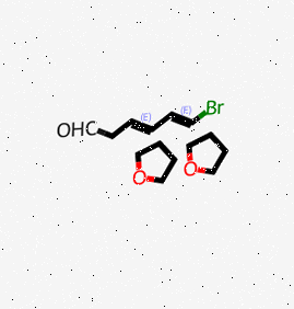 C1CCOC1.C1CCOC1.O=CC/C=C/C=C/Br